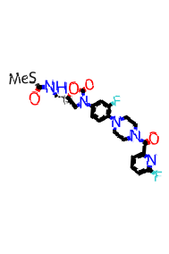 CSC(=O)NC[C@H]1CN(c2ccc(N3CCN(C(=O)c4cccc(F)n4)CC3)c(F)c2)C(=O)O1